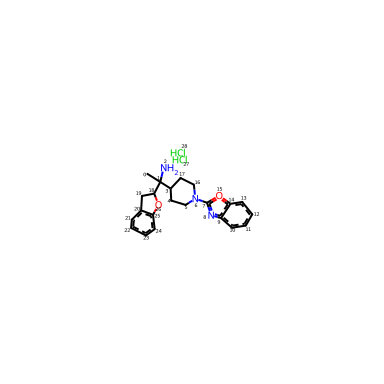 CC(N)(C1CCN(c2nc3ccccc3o2)CC1)C1Cc2ccccc2O1.Cl.Cl